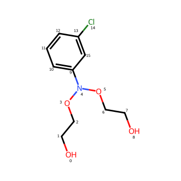 OCCON(OCCO)c1cccc(Cl)c1